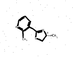 Cc1ncccc1C1=N[C@H](C)CS1